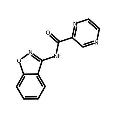 O=C(Nc1noc2ccccc12)c1cnccn1